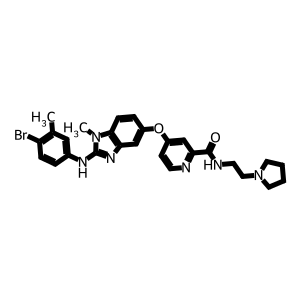 Cc1cc(Nc2nc3cc(Oc4ccnc(C(=O)NCCN5CCCC5)c4)ccc3n2C)ccc1Br